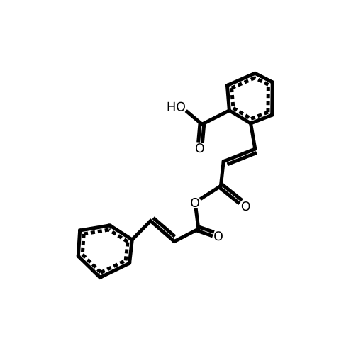 O=C(C=Cc1ccccc1)OC(=O)C=Cc1ccccc1C(=O)O